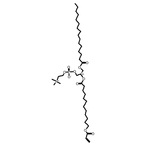 C=CC(=O)OCCCCCCCCCCCC(=O)O[C@H](COC(=O)CCCCCCCCCCCCCCC)COP(=O)([O-])OCC[N+](C)(C)C